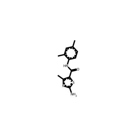 Cc1ccc(NC(=O)c2sc(N)nc2C)c(C)c1